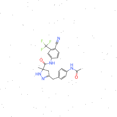 CC(=O)Nc1ccc(CC2=NNC(C)(C(=O)Nc3ccc(C#N)c(C(F)(F)F)c3)C2)cc1